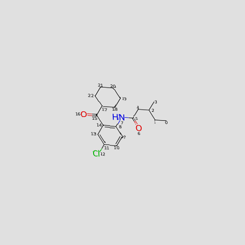 CCC(C)CC(=O)Nc1ccc(Cl)cc1C(=O)C1CCCCC1